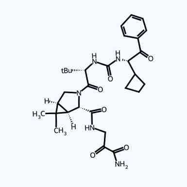 CC(C)(C)[C@H](NC(=O)N[C@H](C(=O)c1ccccc1)C1CCC1)C(=O)N1C[C@H]2[C@@H]([C@H]1C(=O)NCC(=O)C(N)=O)C2(C)C